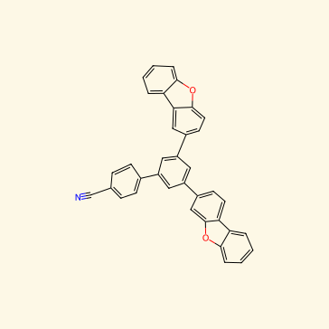 N#Cc1ccc(-c2cc(-c3ccc4c(c3)oc3ccccc34)cc(-c3ccc4oc5ccccc5c4c3)c2)cc1